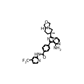 C[C@@]1(c2nc(-c3ccc(C(=O)Nc4cc(C(F)(F)F)ccn4)cc3)c3c(N)nccn23)CC[C@H]2COCN2C1